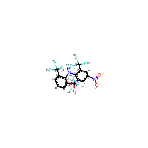 O=[N+]([O-])c1cc([N+](=O)[O-])c(Nc2c(C(F)(F)F)cccc2C(F)(F)F)c(C(F)(F)F)c1